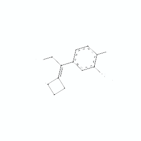 Nc1cc(C(CC(=O)O)=C2CCC2)ccc1Cl